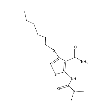 CCCCCCSc1csc(NC(=O)N(C)C)c1C(N)=O